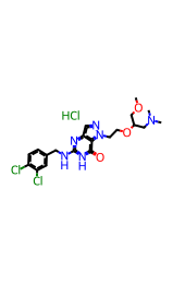 COCC(CN(C)C)OCCn1ncc2nc(NCc3ccc(Cl)c(Cl)c3)[nH]c(=O)c21.Cl